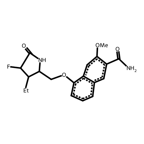 CCC1C(COc2cccc3cc(C(N)=O)c(OC)cc23)NC(=O)C1F